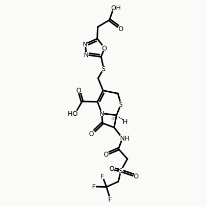 O=C(O)Cc1nnc(SCC2=C(C(=O)O)N3C(=O)C(NC(=O)CS(=O)(=O)CC(F)(F)F)[C@@H]3SC2)o1